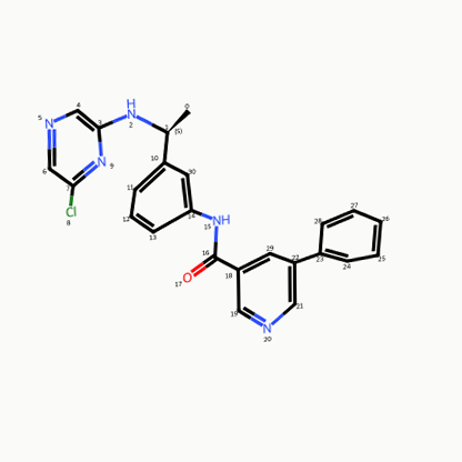 C[C@H](Nc1cncc(Cl)n1)c1cccc(NC(=O)c2cncc(-c3ccccc3)c2)c1